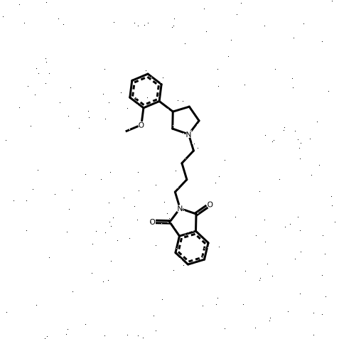 COc1ccccc1C1CCN(CCCCN2C(=O)c3ccccc3C2=O)C1